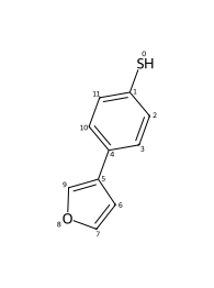 Sc1ccc(-c2ccoc2)cc1